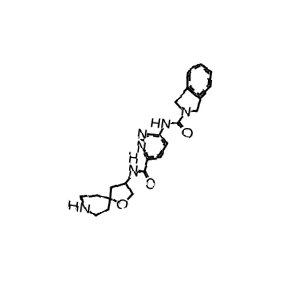 O=C(NC1COC2(CCNCC2)C1)c1ccc(NC(=O)N2Cc3ccccc3C2)nn1